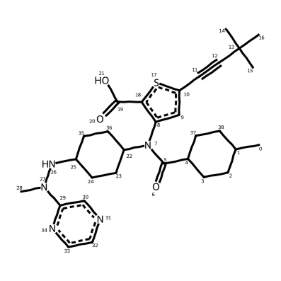 CC1CCC(C(=O)N(c2cc(C#CC(C)(C)C)sc2C(=O)O)C2CCC(NN(C)c3cnccn3)CC2)CC1